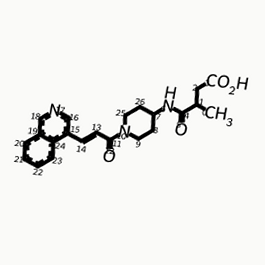 CC(CC(=O)O)C(=O)NC1CCN(C(=O)/C=C/c2cncc3ccccc23)CC1